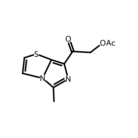 CC(=O)OCC(=O)c1nc(C)n2ccsc12